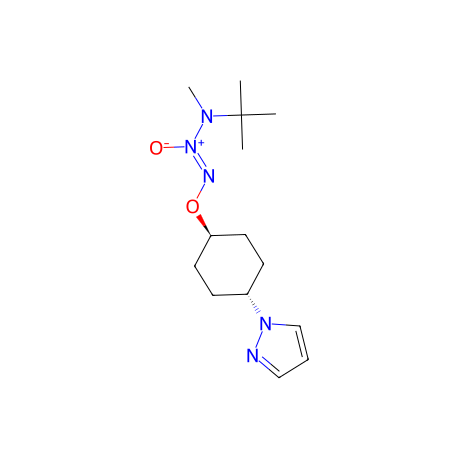 CN(/[N+]([O-])=N/O[C@H]1CC[C@H](n2cccn2)CC1)C(C)(C)C